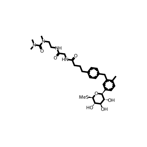 CS[C@H]1O[C@@H](c2ccc(C)c(Cc3ccc(CCCC(=O)NCC(=O)NCCN(C)C(=O)N(C)C)cc3)c2)[C@H](O)[C@@H](O)[C@@H]1O